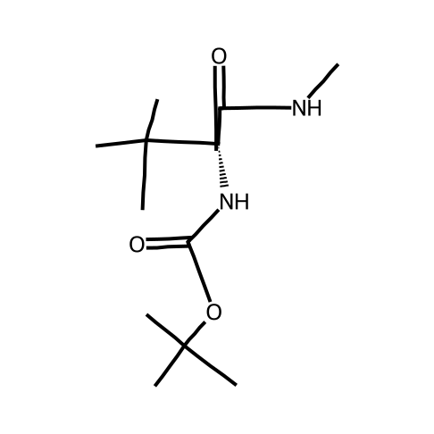 CNC(=O)[C@H](NC(=O)OC(C)(C)C)C(C)(C)C